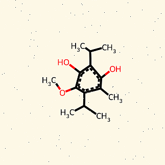 COc1c(O)c(C(C)C)c(O)c(C)c1C(C)C